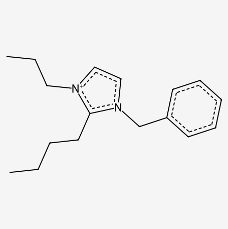 CCCCc1n(Cc2ccccc2)cc[n+]1CCC